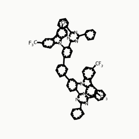 FC(F)(F)c1ccc2c(c1)c1cc(C(F)(F)F)ccc1n2-c1cc(-c2cccc(-c3ccc(-c4nc(-c5ccccc5)nc(-c5ccccc5)n4)c(-n4c5ccc(C(F)(F)F)cc5c5cc(C(F)(F)F)ccc54)c3)c2)ccc1-c1nc(-c2ccccc2)nc(-c2ccccc2)n1